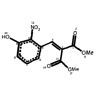 COC(=O)C(=Cc1cccc(O)c1[N+](=O)[O-])C(=O)OC